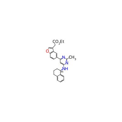 CCOC(=O)Cc1coc2ccc(-c3cc(N[C@@H]4CCCc5ccccc54)nc(C)n3)cc12